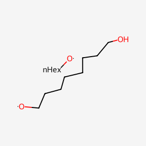 CCCCCC[O].[O]CCCCCCCCO